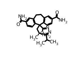 CC(C)c1nnc(C2(C[C@H](C)N)c3ccc(C(N)=O)cc3CCc3cc(C(N)=O)ccc32)o1